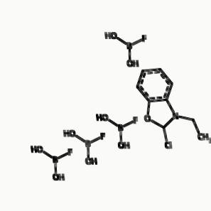 CCN1c2ccccc2OC1Cl.OB(O)F.OB(O)F.OB(O)F.OB(O)F